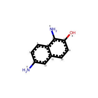 Nc1ccc2c(N)c(O)ccc2c1